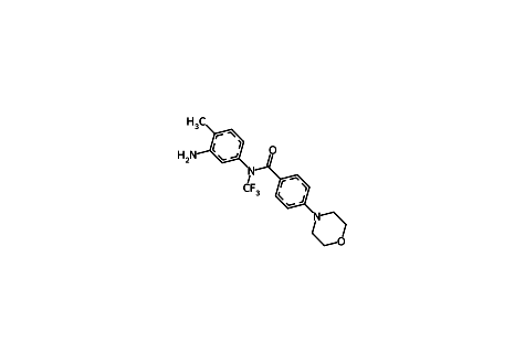 Cc1ccc(N(C(=O)c2ccc(N3CCOCC3)cc2)C(F)(F)F)cc1N